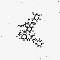 COC(=O)c1ccc(OC(C(=O)Cc2ccc(NC(=O)Nc3ccccc3C)c(OC)c2)[C@@H]2CC3CCCCC3N2)cc1